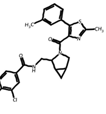 Cc1cccc(-c2sc(C)nc2C(=O)N2CC3CC3C2CNC(=O)c2ccc(Cl)c(Cl)c2)c1